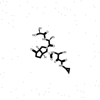 CCCC(NC(=O)[C@@H]1[C@H]2CCC(=O)[C@H]2CN1C(=O)[C@@H](NC(=O)[C@@H](O)C(C)C)C(C)C)C(=O)C(=O)NC1CC1